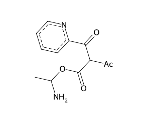 CC(=O)C(C(=O)OC(C)N)C(=O)c1ccccn1